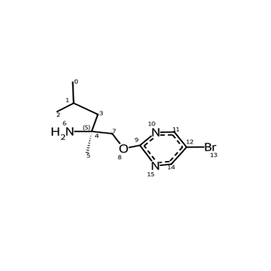 CC(C)C[C@](C)(N)COc1ncc(Br)cn1